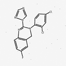 Fc1ccc2c(c1)CN(c1ccc(Cl)cc1Cl)C(n1cncn1)=N2